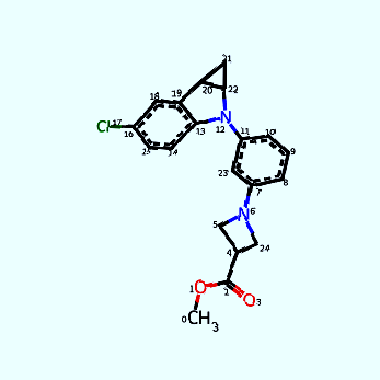 COC(=O)C1CN(c2cccc(N3c4ccc(Cl)cc4C4CC43)c2)C1